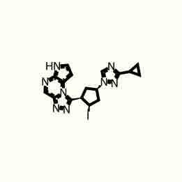 I[C@@H]1C[C@H](n2cnc(C3CC3)n2)C[C@@H]1c1nnc2cnc3[nH]ccc3n12